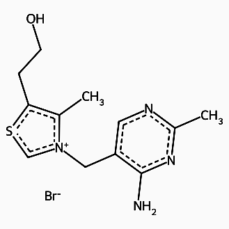 Cc1ncc(C[n+]2csc(CCO)c2C)c(N)n1.[Br-]